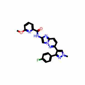 COc1cccc(C(=O)Nc2cn3nc(-c4cn(C)nc4-c4ccc(F)cc4)ccc3n2)n1